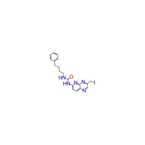 O=C(NCCCCc1ccccc1)Nc1ccc2ncc(CI)nc2n1